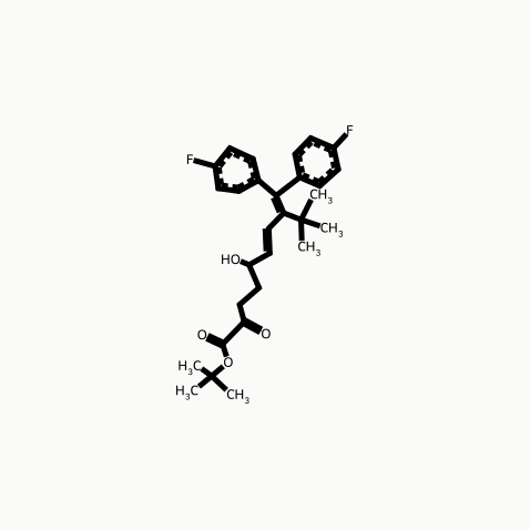 CC(C)(C)OC(=O)C(=O)CCC(O)/C=C/C(=C(c1ccc(F)cc1)c1ccc(F)cc1)C(C)(C)C